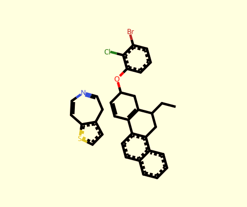 C1=Cc2sccc2CC=N1.CCC1Cc2c(ccc3ccccc23)C2=C1CC(Oc1cccc(Br)c1Cl)C=C2